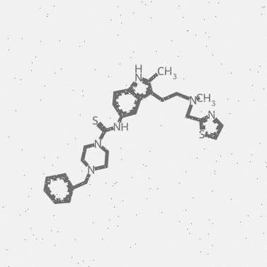 Cc1[nH]c2ccc(NC(=S)N3CCN(Cc4ccccc4)CC3)cc2c1CCN(C)Cc1nccs1